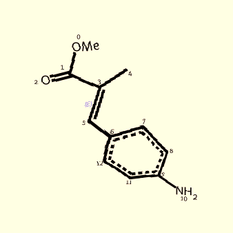 COC(=O)/C(C)=C/c1ccc(N)cc1